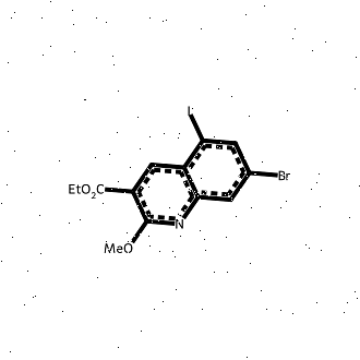 CCOC(=O)c1cc2c(I)cc(Br)cc2nc1OC